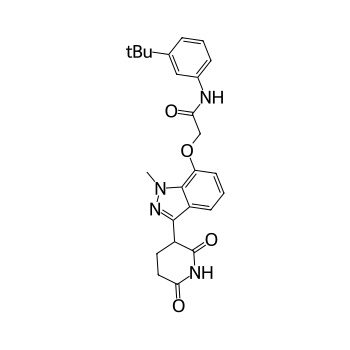 Cn1nc(C2CCC(=O)NC2=O)c2cccc(OCC(=O)Nc3cccc(C(C)(C)C)c3)c21